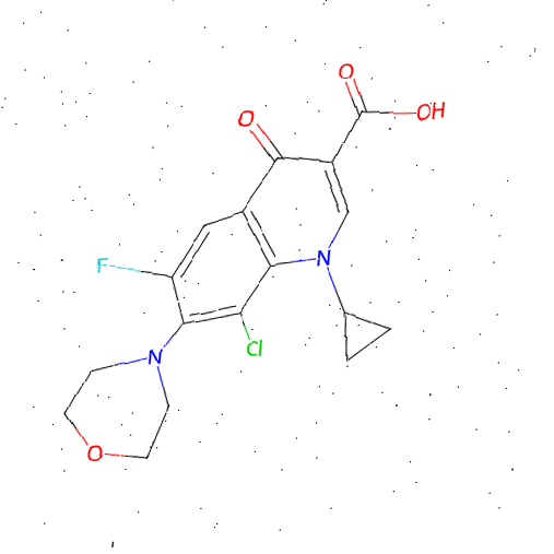 O=C(O)c1cn(C2CC2)c2c(Cl)c(N3CCOCC3)c(F)cc2c1=O